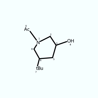 CC(=O)N1CC(O)CC(C(C)(C)C)C1